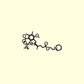 COc1c(C)c2c(c(NC(=O)N(C)C)c1CC=C(C)CCC(=O)OCCN1CCCCC1)C(=O)OC2